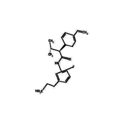 C=CC1=CCC([C@@H](C(=O)Nc2cc(CCC(=O)O)ccc2F)[C@@H](C)C(F)(F)F)C=C1